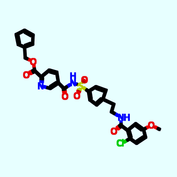 COc1ccc(Cl)c(C(=O)NCCc2ccc(S(=O)(=O)NC(=O)c3ccc(C(=O)OCc4ccccc4)nc3)cc2)c1